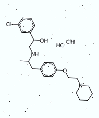 CC(Cc1ccc(OCCN2CCCCC2)cc1)NCC(O)c1cccc(Cl)c1.Cl.Cl